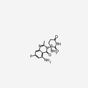 B[C@@]1(n2c(C)nc3cc(F)cc(N)c3c2=O)CCC(=O)NC1=O